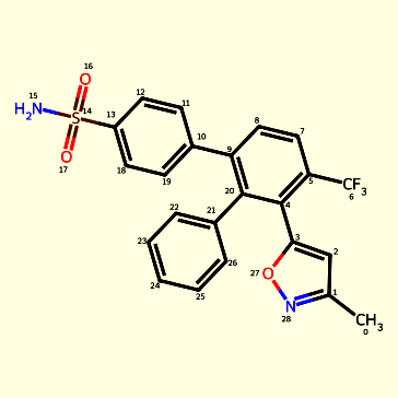 Cc1cc(-c2c(C(F)(F)F)ccc(-c3ccc(S(N)(=O)=O)cc3)c2-c2ccccc2)on1